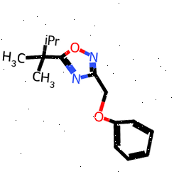 CC(C)C(C)(C)c1nc(COc2ccccc2)no1